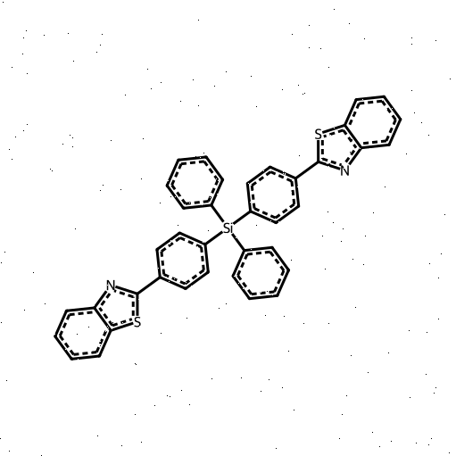 c1ccc([Si](c2ccccc2)(c2ccc(-c3nc4ccccc4s3)cc2)c2ccc(-c3nc4ccccc4s3)cc2)cc1